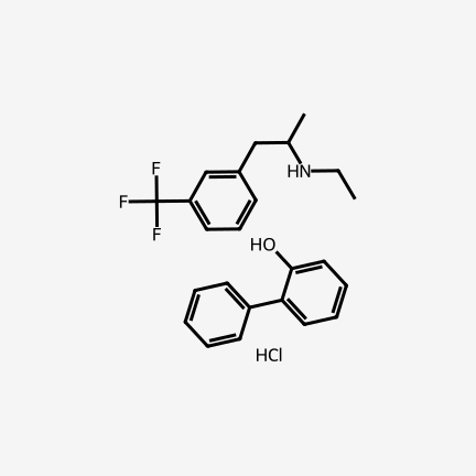 CCNC(C)Cc1cccc(C(F)(F)F)c1.Cl.Oc1ccccc1-c1ccccc1